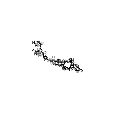 CC(C)C(N)C(=O)NC(CCCNC(N)=O)C(=O)Nc1ccc(COC(=O)Nc2ncnc3c2ncn3[C@@H]2O[C@@H]3COP(=O)(S)O[C@H]4[C@@H](F)[C@H](n5ccc(=O)[nH]c5=O)O[C@@H]4COP(=O)(O)O[C@H]3[C@H]2F)cc1